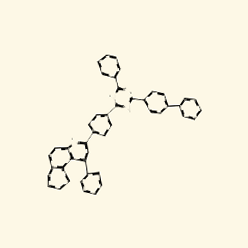 c1ccc(-c2ccc(-c3nc(-c4ccccc4)nc(-c4ccc(-c5cc(-c6ccccc6)c6c(ccc7ccccc76)n5)cc4)n3)cc2)cc1